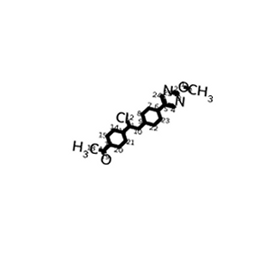 COc1ncc(C2CCC(CC(Cl)C3CCC(C(C)=O)CC3)CC2)cn1